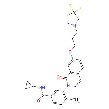 Cc1ccc(C(=O)NC2CC2)cc1-n1ccc2ccc(OCCCN3CCC(F)(F)C3)cc2c1=O